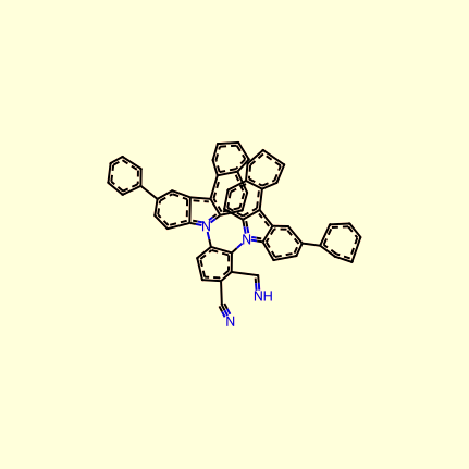 N#Cc1ccc(-n2c3ccc(-c4ccccc4)cc3c3c4ccccc4ccc32)c(-n2c3ccc(-c4ccccc4)cc3c3c4ccccc4ccc32)c1C=N